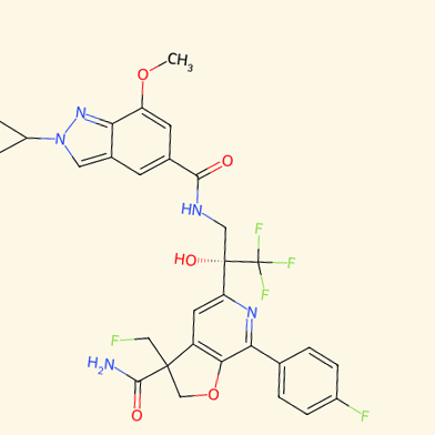 COc1cc(C(=O)NC[C@](O)(c2cc3c(c(-c4ccc(F)cc4)n2)OCC3(CF)C(N)=O)C(F)(F)F)cc2cn(C3CC3)nc12